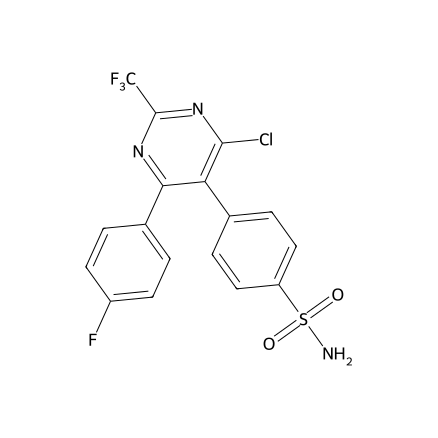 NS(=O)(=O)c1ccc(-c2c(Cl)nc(C(F)(F)F)nc2-c2ccc(F)cc2)cc1